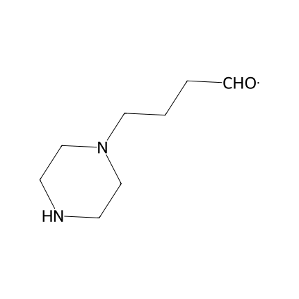 O=[C]CCCN1CCNCC1